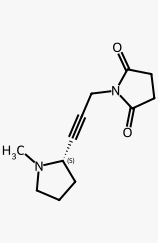 CN1CCC[C@H]1C#CCN1C(=O)CCC1=O